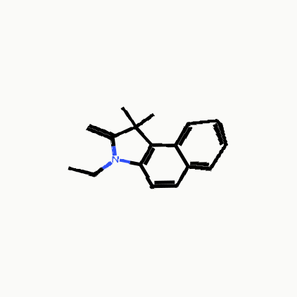 C=C1N(CC)c2ccc3ccccc3c2C1(C)C